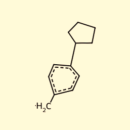 [CH2]c1ccc(C2CCCC2)cc1